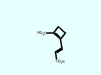 O=C(O)C=CC1=C(C(=O)O)CC1